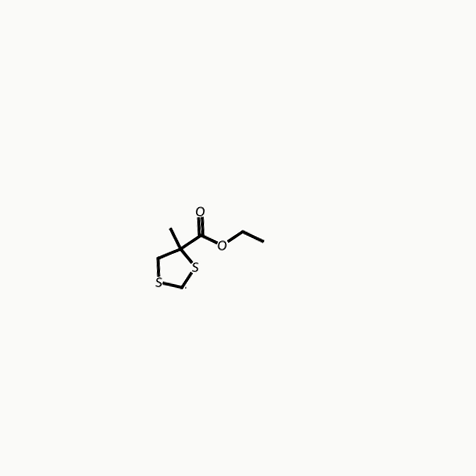 CCOC(=O)C1(C)CS[CH]S1